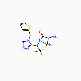 CC1(C)S[C@@H]2C(N)C(=O)N2C1c1nnnn1Cc1cccs1